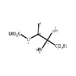 CCCC(CCC)(C(=O)OCC)C(C)OC(=O)OCC